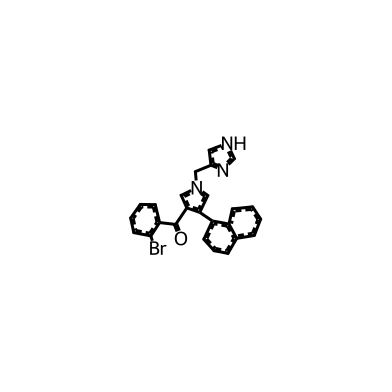 O=C(c1ccccc1Br)c1cn(Cc2c[nH]cn2)cc1-c1cccc2ccccc12